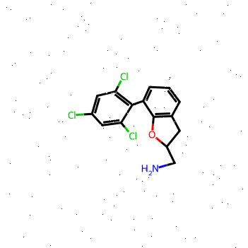 NCC1Cc2cccc(-c3c(Cl)cc(Cl)cc3Cl)c2O1